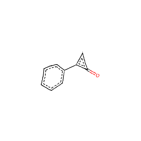 O=c1[c]c1-c1ccccc1